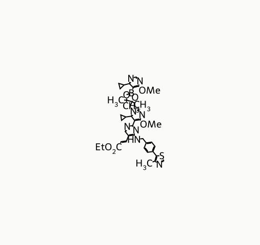 CCOC(=O)/C=C/c1cnc(-c2c(OC)nc[n+](CC3(C)OB(c4c(OC)ncnc4C4CC4)OC3(C)C)c2C2CC2)nc1NCc1ccc(-c2scnc2C)cc1